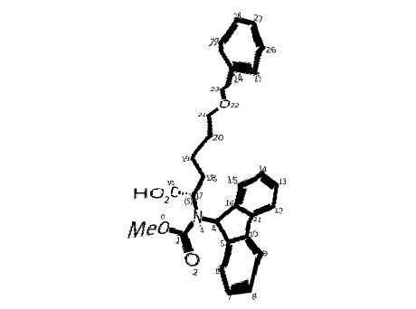 COC(=O)N(C1c2ccccc2-c2ccccc21)[C@@H](CCCCOCc1ccccc1)C(=O)O